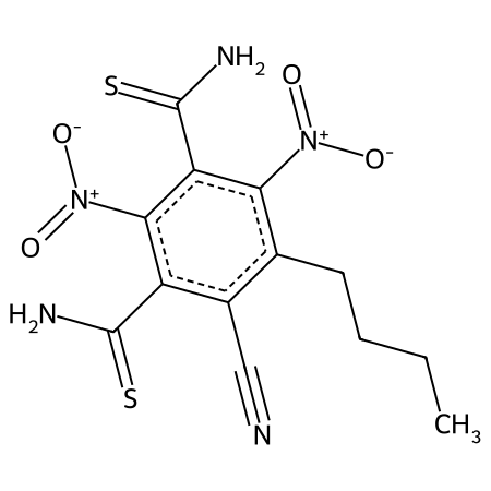 CCCCc1c(C#N)c(C(N)=S)c([N+](=O)[O-])c(C(N)=S)c1[N+](=O)[O-]